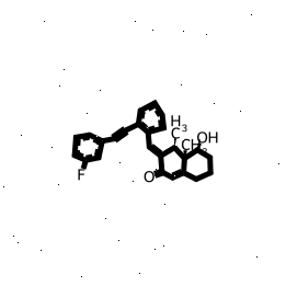 C[C@H]1/C(=C\c2ccccc2C#Cc2cccc(F)c2)C(=O)C=C2CCC[C@H](O)[C@]21C